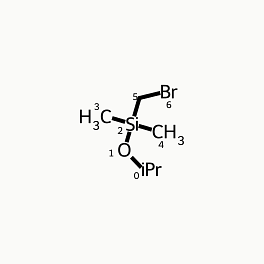 CC(C)O[Si](C)(C)CBr